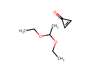 CCOC(C)OCC.O=c1cc1